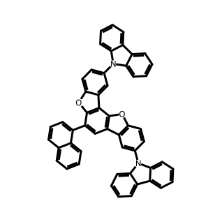 c1ccc2c(-c3cc4c5cc(-n6c7ccccc7c7ccccc76)ccc5oc4c4c3oc3ccc(-n5c6ccccc6c6ccccc65)cc34)cccc2c1